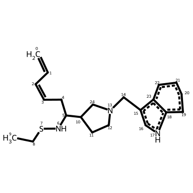 C=C/C=C\CC(NSCC)C1CCN(Cc2c[nH]c3ccccc23)C1